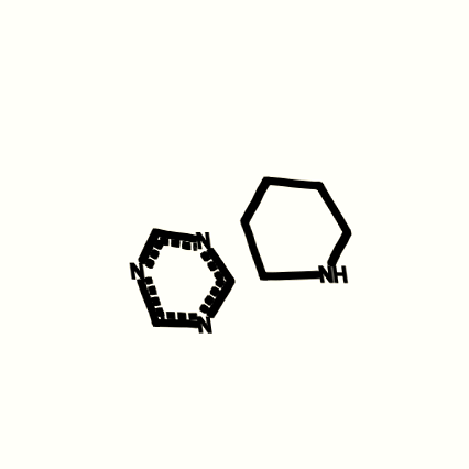 C1CCNCC1.c1ncncn1